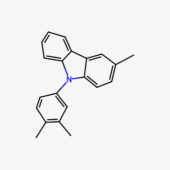 Cc1ccc2c(c1)c1ccccc1n2-c1ccc(C)c(C)c1